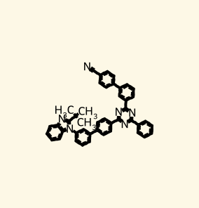 CC(C)(C)c1nc2ccccc2n1-c1cccc(-c2ccc(-c3nc(-c4ccccc4)nc(-c4cccc(-c5ccc(C#N)cc5)c4)n3)cc2)c1